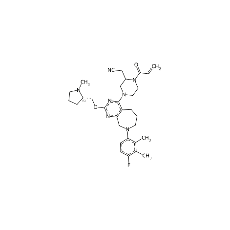 C=CC(=O)N1CCN(c2nc(OC[C@@H]3CCCN3C)nc3c2CCCN(c2ccc(F)c(C)c2C)C3)CC1CC#N